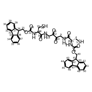 O=C(N[C@@H](CS)C(=O)NCC(=O)C(=O)CNC(=O)[C@H](CS)NC(=O)OCC1c2ccccc2-c2ccccc21)OCC1c2ccccc2-c2ccccc21